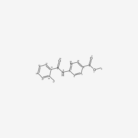 COC(=O)c1ccc(NC(=O)c2ccccc2C)nc1